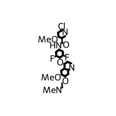 CNCCOc1cc2nccc(Oc3c(F)cc(NC(=O)c4cnc(Cl)cc4OC)cc3F)c2cc1OC